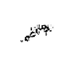 C[C@H](NCC1CCc2c1n[nH]c(=O)c2C(F)(F)F)C(=O)N1CCN(c2ccc(C#N)cn2)CC1